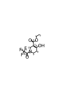 CCOC(=O)C1=C(O)CCN(C(=O)C(F)(F)F)C1